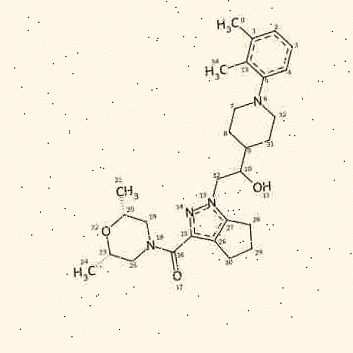 Cc1cccc(N2CCC(C(O)Cn3nc(C(=O)N4C[C@@H](C)O[C@@H](C)C4)c4c3CCC4)CC2)c1C